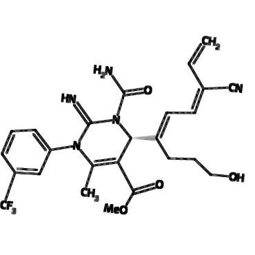 C=C/C(C#N)=C\C=C(/CCCO)[C@@H]1C(C(=O)OC)=C(C)N(c2cccc(C(F)(F)F)c2)C(=N)N1C(N)=O